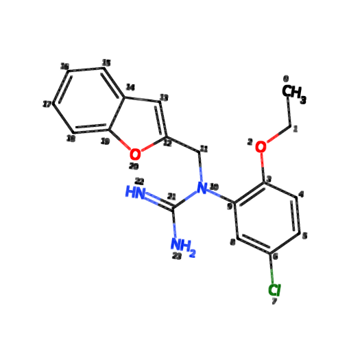 CCOc1ccc(Cl)cc1N(Cc1cc2ccccc2o1)C(=N)N